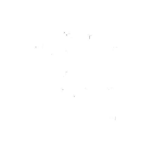 Cc1ccc(C)c(-c2cc(C(F)(F)F)c(F)c(C(N)CC(=O)O)c2F)c1C